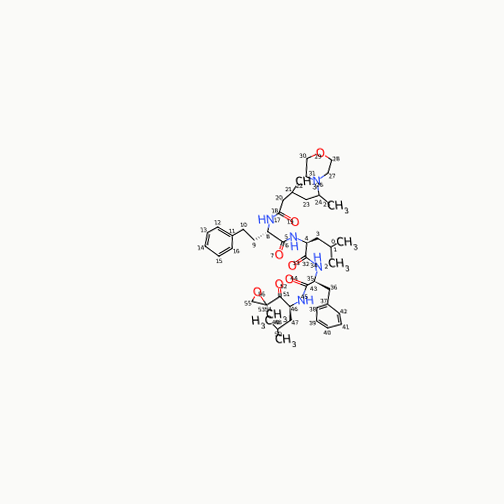 CC(C)C[C@H](NC(=O)[C@H](CCc1ccccc1)NC(=O)CC(C)CC(C)N1CCOCC1)C(=O)N[C@@H](Cc1ccccc1)C(=O)N[C@@H](CC(C)C)C(=O)[C@@]1(C)CO1